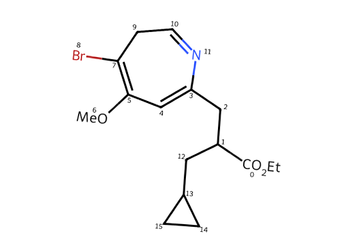 CCOC(=O)C(CC1=CC(OC)=C(Br)CC=N1)CC1CC1